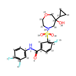 O=C(Nc1ccc(F)c(F)c1)c1ccc(F)c(S(=O)(=O)N2CCOCC(O)(C3CC3)C2)c1